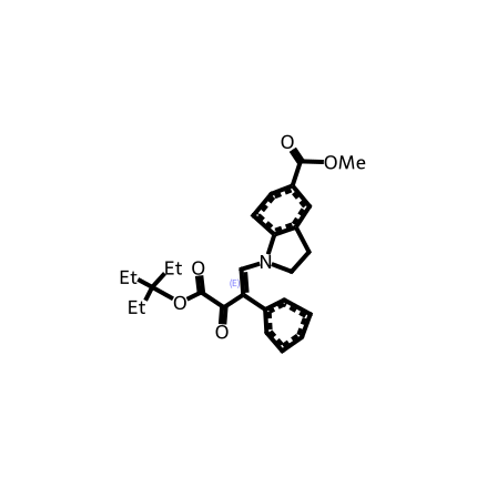 CCC(CC)(CC)OC(=O)C(=O)/C(=C/N1CCc2cc(C(=O)OC)ccc21)c1ccccc1